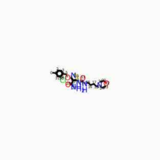 Cc1ccc(COc2nsc(NC(=O)NCCCCN3CCOCC3)c2C(N)=O)c(Cl)c1